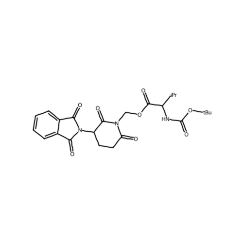 CC(C)C(NC(=O)OC(C)(C)C)C(=O)OCN1C(=O)CCC(N2C(=O)c3ccccc3C2=O)C1=O